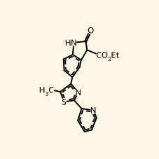 CCOC(=O)C1C(=O)Nc2ccc(-c3nc(-c4ccccn4)sc3C)cc21